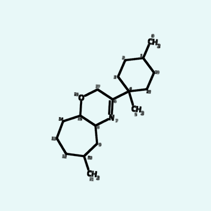 CC1CCC(C)(C2=NC3CC(C)CCCC3OC2)CC1